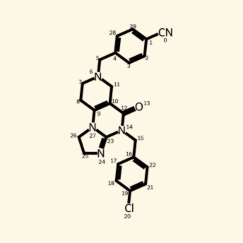 N#Cc1ccc(CN2CCC3=C(C2)C(=O)N(Cc2ccc(Cl)cc2)C2=NCCN23)cc1